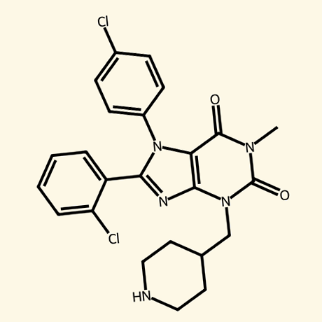 Cn1c(=O)c2c(nc(-c3ccccc3Cl)n2-c2ccc(Cl)cc2)n(CC2CCNCC2)c1=O